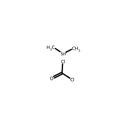 O=C(Cl)Cl.[CH3][Sn][CH3]